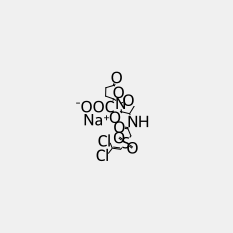 O=C(CS(=O)(=O)C=C(Cl)Cl)N[C@H]1CON(C2(C(=O)[O-])CCC(=O)O2)C1=O.[Na+]